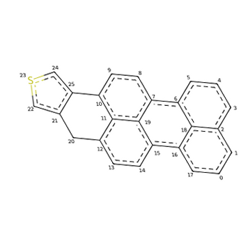 c1cc2cccc3c4ccc5c6c(ccc(c(c1)c23)c64)Cc1cscc1-5